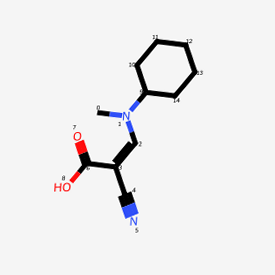 CN(C=C(C#N)C(=O)O)C1CCCCC1